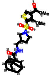 COC(=O)c1csc(S(=O)(=O)N2CCC(CNC(=O)C34CC5CC(CC(C5)C3)C4)C2)c1OC